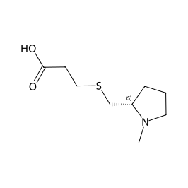 CN1CCC[C@H]1CSCCC(=O)O